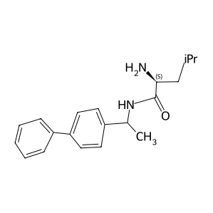 CC(C)C[C@H](N)C(=O)NC(C)c1ccc(-c2ccccc2)cc1